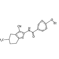 CCOc1ccc(C(=O)Nc2sc3c(c2C#N)CC(C)CC3)cc1